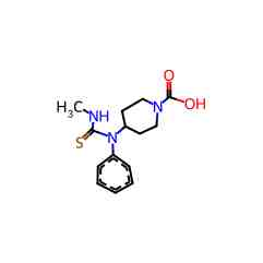 CNC(=S)N(c1ccccc1)C1CCN(C(=O)O)CC1